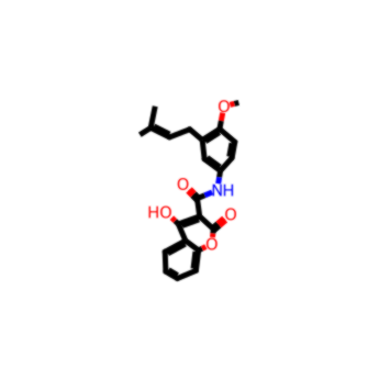 COc1ccc(NC(=O)c2c(O)c3ccccc3oc2=O)cc1CC=C(C)C